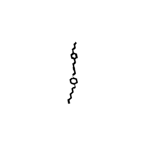 CCCCCCC[C@H]1CC[C@H](C=CC#CC=Cc2ccc(CCCC)cc2)CC1